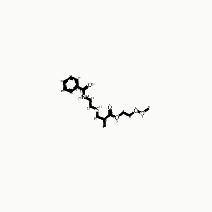 COOCCOC(=O)C(C)CSCCNC(=O)c1ccccc1